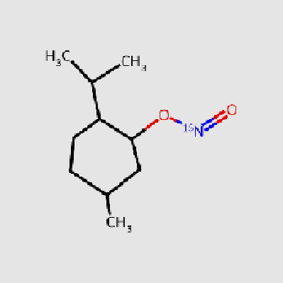 CC1CCC(C(C)C)C(O[15N]=O)C1